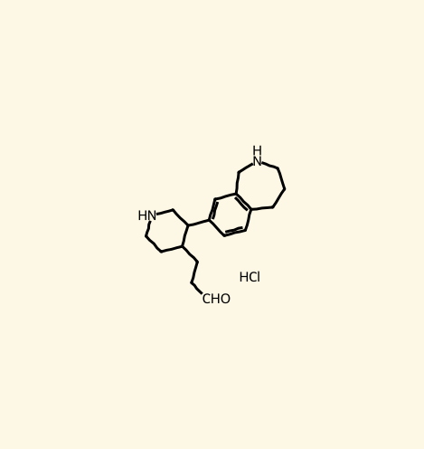 Cl.O=CCCC1CCNCC1c1ccc2c(c1)CNCCC2